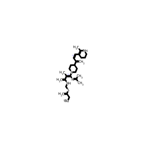 C=C(CC(C)(C)C)SCNC(=C)/C(C)=C(\N=C(C)C)N1CCC(C(=C)/C=C\C2=C(C)NCCC2)CC1